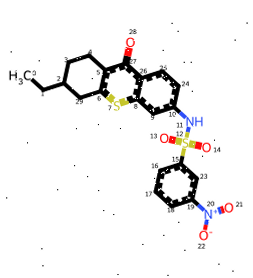 CCC1CCc2c(sc3cc(NS(=O)(=O)c4cccc([N+](=O)[O-])c4)ccc3c2=O)C1